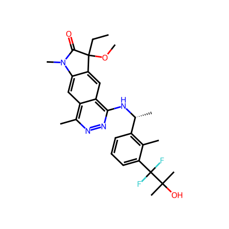 CCC1(OC)C(=O)N(C)c2cc3c(C)nnc(N[C@H](C)c4cccc(C(F)(F)C(C)(C)O)c4C)c3cc21